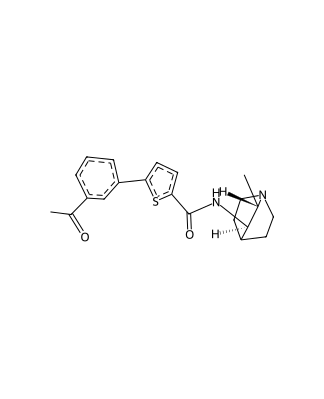 CC(=O)c1cccc(-c2ccc(C(=O)N[C@@H]3C4CCN(CC4)[C@H]3C)s2)c1